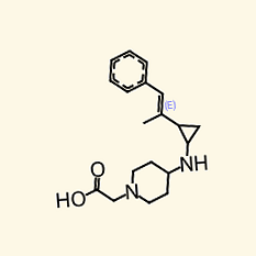 C/C(=C\c1ccccc1)C1CC1NC1CCN(CC(=O)O)CC1